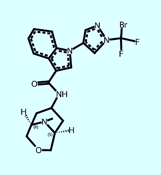 CN1[C@@H]2COC[C@H]1CC(NC(=O)c1cn(-c3cnn(C(F)(F)Br)c3)c3ccccc13)C2